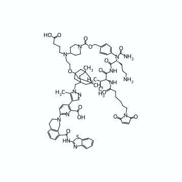 Cc1c(-c2ccc(N3CCc4cccc(C(=O)Nc5nc6ccccc6s5)c4C3)nc2C(=O)O)cnn1CC12CC3(C)CC(C)(C1)CC(OCCN(CCCC(=O)O)C1CCN(C(=O)OCc4ccc(N(C(N)=O)[C@@H](CCCN)C(=O)NC(=O)[C@@H](NC(=O)CCCCCN5C(=O)C=CC5=O)C(C)C)cc4)CC1)(C3)C2